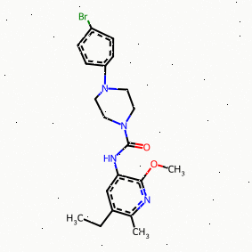 CCc1cc(NC(=O)N2CCN(c3ccc(Br)cc3)CC2)c(OC)nc1C